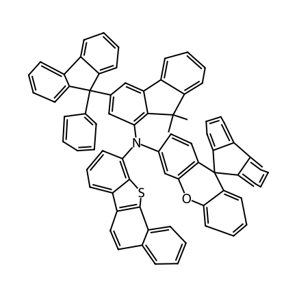 CC1(C)c2ccccc2-c2cc(C3(c4ccccc4)c4ccccc4-c4ccccc43)cc(N(c3ccc4c(c3)Oc3ccccc3C43c4ccccc4-c4ccccc43)c3cccc4c3sc3c5ccccc5ccc43)c21